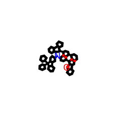 c1ccc(-c2ccc(-c3c(N(c4ccc(-c5cccc6c5oc5ccccc56)cc4)c4ccc5c(c4)-c4ccccc4C5(c4ccccc4)c4ccccc4)c4ccccc4c4ccccc34)cc2)cc1